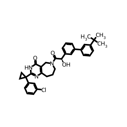 CC(C)(C)c1cccc(-c2cccc([C@@H](O)C(=O)N3CCCc4nc(C5(c6cccc(Cl)c6)CC5)[nH]c(=O)c4C3)c2)c1